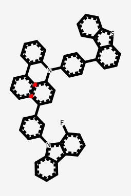 Fc1cccc2c3ccccc3n(-c3cccc(-c4ccc(N(c5ccc(-c6cccc7sc8ccccc8c67)cc5)c5ccccc5-c5ccccc5)cc4)c3)c12